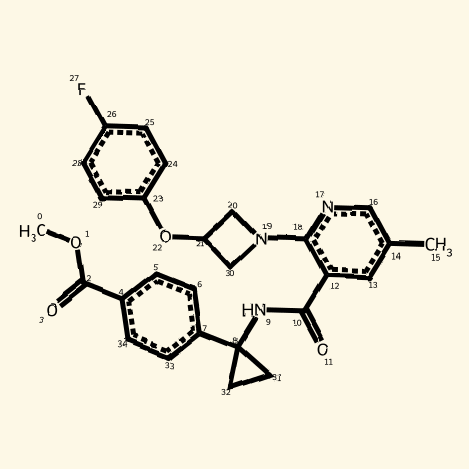 COC(=O)c1ccc(C2(NC(=O)c3cc(C)cnc3N3CC(Oc4ccc(F)cc4)C3)CC2)cc1